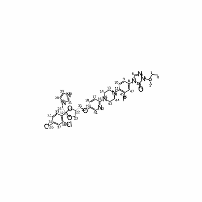 CCC(C)n1ncn(-c2ccc(N3CCN(c4ccc(OC[C@@H]5CO[C@@](Cn6ccnc6)(c6ccc(Cl)cc6Cl)O5)cn4)CC3)c(F)c2)c1=O